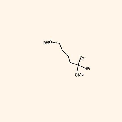 COCCCCC(OC)(C(C)C)C(C)C